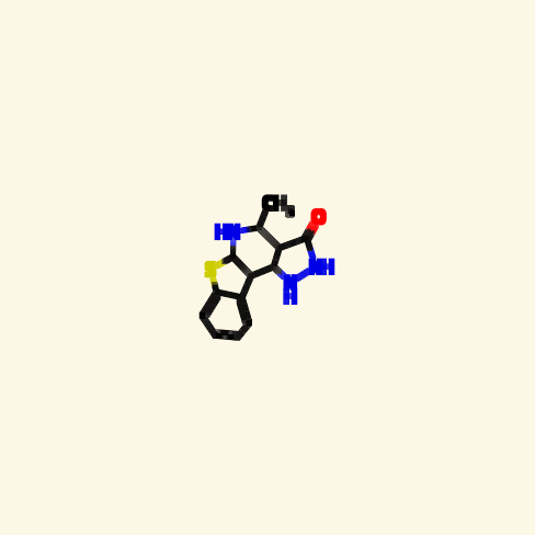 CC1NC2Sc3ccccc3C2C2NNC(=O)C12